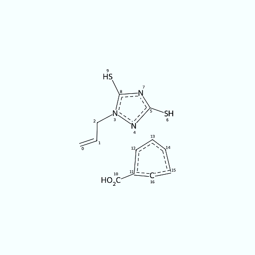 C=CCn1nc(S)nc1S.O=C(O)c1ccccc1